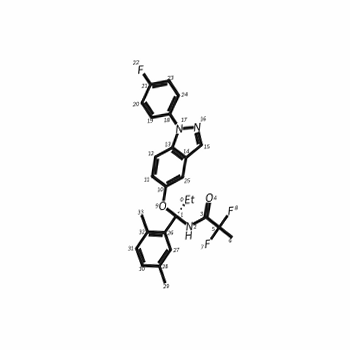 CC[C@@](NC(=O)C(C)(F)F)(Oc1ccc2c(cnn2-c2ccc(F)cc2)c1)c1cc(C)ccc1C